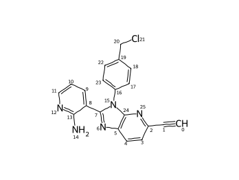 C#Cc1ccc2nc(-c3cccnc3N)n(-c3ccc(CCl)cc3)c2n1